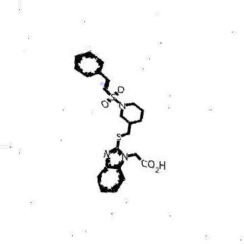 O=C(O)Cn1c(SCC2CCCN(S(=O)(=O)/C=C/c3ccccc3)C2)nc2ccccc21